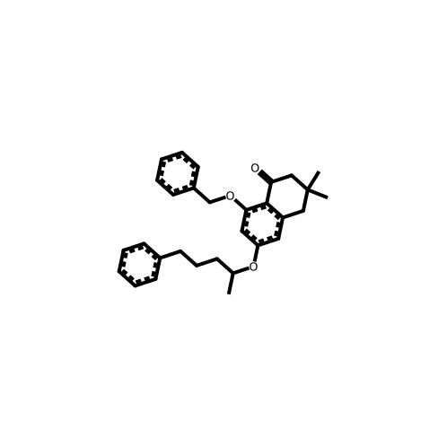 CC(CCCc1ccccc1)Oc1cc2c(c(OCc3ccccc3)c1)C(=O)CC(C)(C)C2